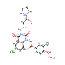 CCOc1ccc(C(=O)Cn2c(=O)n(CCCC(=O)N3CCCC3)c(=O)c3cc(Cl)ccc32)cc1Cl